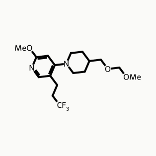 COCOCC1CCN(c2cc(OC)ncc2CCC(F)(F)F)CC1